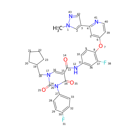 Cn1cc(-c2cc(Oc3ccc(NC(=O)c4cn(CC5CCCC5)c(=O)n(-c5ccc(F)cc5)c4=O)cc3F)ccn2)cn1